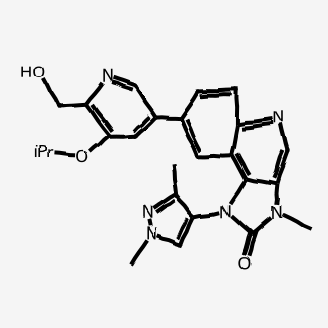 Cc1nn(C)cc1-n1c(=O)n(C)c2cnc3ccc(-c4cnc(CO)c(OC(C)C)c4)cc3c21